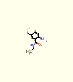 CCNC(=O)c1cc(CF)ccc1N